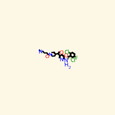 C[C@@H](Oc1c(N)ncc2c(C3=CCN(C(=O)CCCN(C)C)CC3)coc12)c1c(Cl)ccc(F)c1Cl